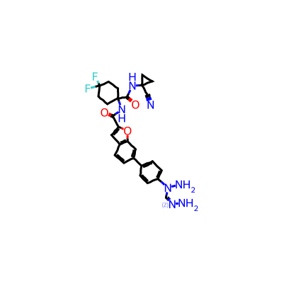 N#CC1(NC(=O)C2(NC(=O)c3cc4ccc(-c5ccc(N(N)/C=N\N)cc5)cc4o3)CCC(F)(F)CC2)CC1